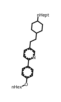 CCCCCCCC1CCC(CCc2ccc(-c3ccc(OCCCCCC)cc3)nc2)CC1